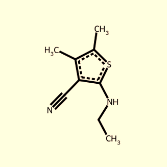 CCNc1sc(C)c(C)c1C#N